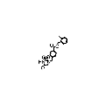 Cc1ccccc1COC(=O)c1ccc(CN2CC(=O)NS2(=O)=O)cc1